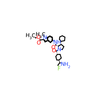 CCOC(=O)c1cc2cc(NC(=O)[C@@H]3[C@H](C4CCCCC4)CCN3C(=O)[C@H]3CC[C@H](C(N)CF)CC3)ccc2n1C